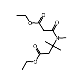 CCOC(=O)CC(=O)N(C)C(C)(C)CC(=O)OCC